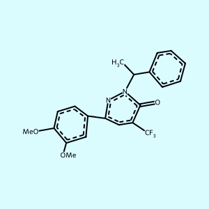 COc1ccc(-c2cc(C(F)(F)F)c(=O)n(C(C)c3ccccc3)n2)cc1OC